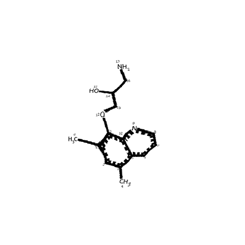 Cc1cc(C)c2cccnc2c1OCC(O)CN